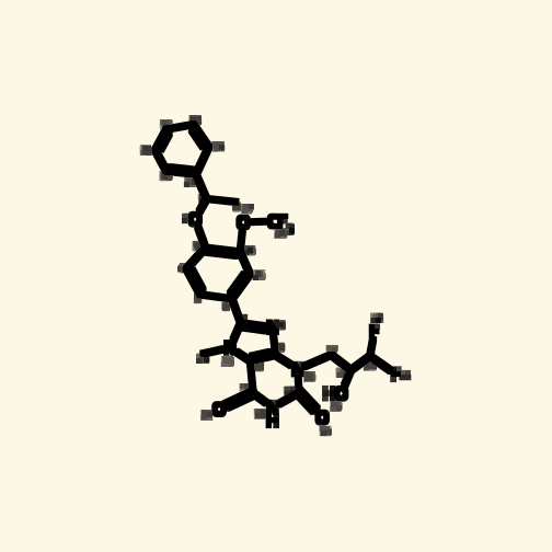 CC(Oc1ccc(-c2nc3c(c(=O)[nH]c(=O)n3CC(O)C(F)F)n2C)cc1OC(F)(F)F)c1ccccc1